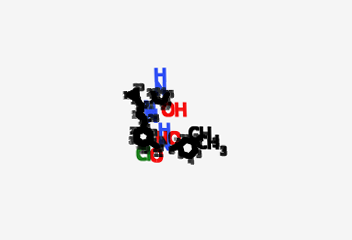 CC1(C)CCCC(O)(CNC(=O)c2cc(-c3cc(C4CC4)n(C4CNCC4O)n3)ccc2Cl)C1